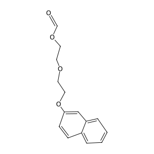 O=COCCOCCOc1ccc2ccccc2c1